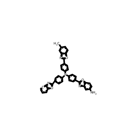 Cc1ccc2oc(-c3ccc(N(c4ccc(-c5nc6ccccc6o5)cc4)c4ccc(-c5nc6cc(N)ccc6o5)cc4)cc3)nc2c1